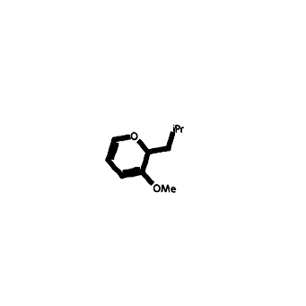 COC1=CC=COC1CC(C)C